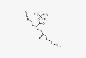 CCCCCC(=O)CCN(CCN=C=O)C(=O)OC(C)(C)C